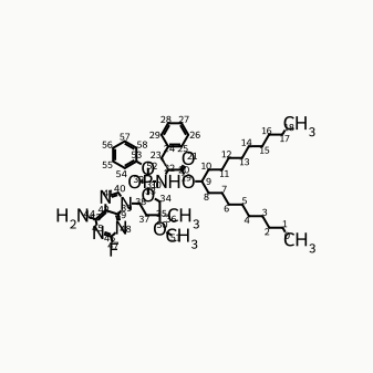 CCCCCCCCCC(CCCCCCCCC)OC(=O)[C@H](Cc1ccccc1)NP(=O)(OC[C@](C)(CCn1cnc2c(N)nc(F)nc21)OC)Oc1ccccc1